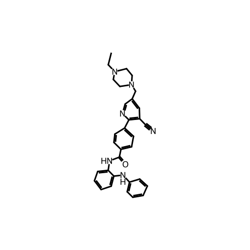 CCN1CCN(Cc2cnc(-c3ccc(C(=O)Nc4ccccc4Nc4ccccc4)cc3)c(C#N)c2)CC1